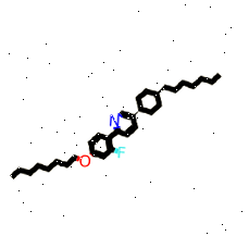 CCCCCCCCOc1ccc(-c2ccc([C@H]3CC[C@H](CCCCCCC)CC3)cn2)c(F)c1